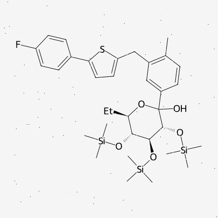 CC[C@H]1OC(O)(c2ccc(C)c(Cc3ccc(-c4ccc(F)cc4)s3)c2)[C@H](O[Si](C)(C)C)[C@@H](O[Si](C)(C)C)[C@@H]1O[Si](C)(C)C